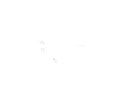 COc1ccccc1-c1cccc2[nH]nc(N)c12